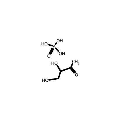 CC(=O)C(O)CO.O=P(O)(O)O